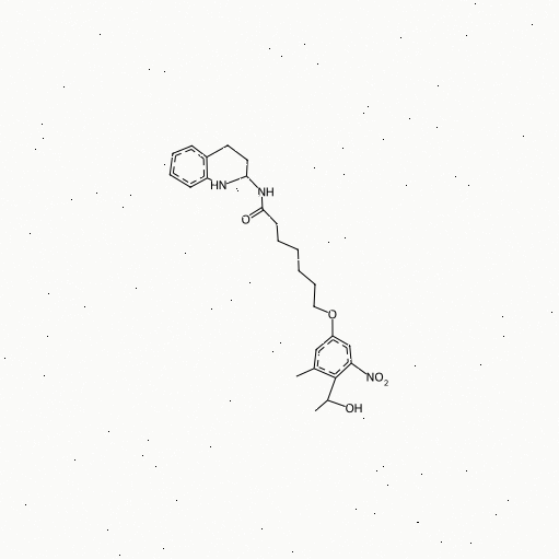 Cc1cc(OCCCCCCC(=O)NC2CCc3ccccc3N2)cc([N+](=O)[O-])c1C(C)O